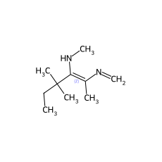 C=N/C(C)=C(\NC)C(C)(C)CC